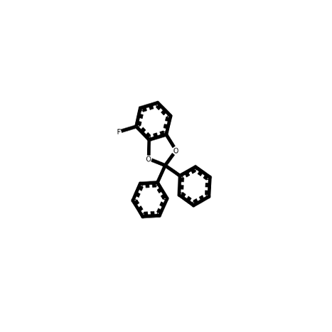 Fc1cccc2c1OC(c1ccccc1)(c1ccccc1)O2